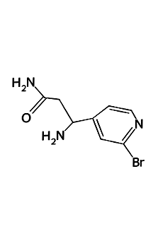 NC(=O)CC(N)c1ccnc(Br)c1